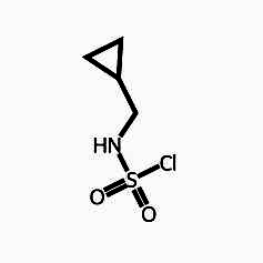 O=S(=O)(Cl)NCC1CC1